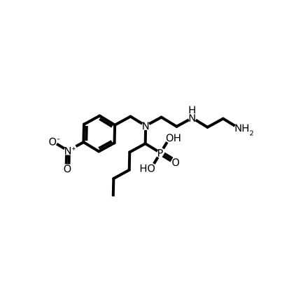 CCCCC(N(CCNCCN)Cc1ccc([N+](=O)[O-])cc1)P(=O)(O)O